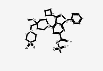 COC1(CN2CCS(=O)(=O)CC2)CCN(c2cc(C(=O)NS(C)(=O)=O)nc3c2c(C2CCC2)nn3-c2ccccc2)CC1